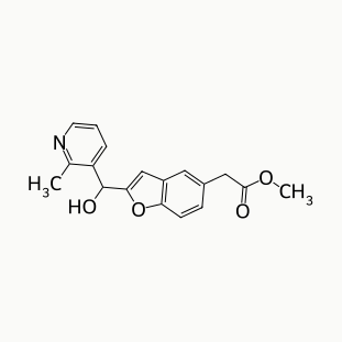 COC(=O)Cc1ccc2oc(C(O)c3cccnc3C)cc2c1